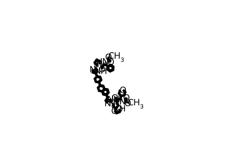 COC(=O)N[C@H](C(=O)N1CC2(C[C@H]1c1ncc(-c3ccc4c(c3)CCC(C3=CC=C(c5cnc([C@@H]6CCCN6C(=O)[C@H](NC(=O)OC)c6ccccc6)[nH]5)CC3)=C4)[nH]1)OCCO2)C1CCOCC1